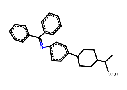 CC(C(=O)O)C1CCC(c2ccc(N=C(c3ccccc3)c3ccccc3)cc2)CC1